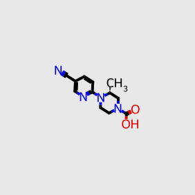 C[C@@H]1CN(C(=O)O)CCN1c1ccc(C#N)cn1